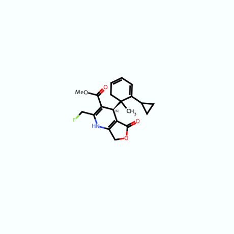 COC(=O)C1=C(CF)NC2=C(C(=O)OC2)[C@@H]1C1(C)CC=CC=C1C1CC1